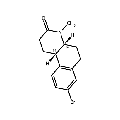 CN1C(=O)CC[C@H]2c3ccc(Br)cc3CC[C@H]21